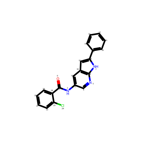 O=C(Nc1cnc2[nH]c(-c3ccccc3)cc2c1)c1ccccc1Cl